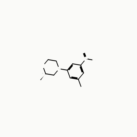 Cc1cc(N2CCO[C@H](C)C2)cc([N+](=O)[O-])c1